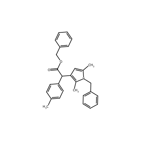 Cc1ccc(C(C(=O)OCc2ccccc2)c2cc(C)n(Cc3ccccc3)c2C)cc1